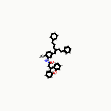 CC(C)(C)c1ccc(/C=C(\CCCC2CCCCC2)CCc2ccccc2)cc1NC(=O)CC1c2ccccc2Oc2ccccc21